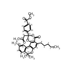 CCCCCc1cc2c(c3c1C(=O)OC(CC(C)=O)(c1ccc(C(=O)OC)cc1)O3)-c1cc(C)ccc1C(C)(C)O2